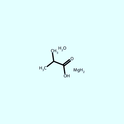 CC(C)C(=O)O.O.[MgH2]